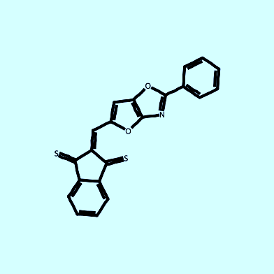 S=C1C(=Cc2cc3oc(-c4ccccc4)nc3o2)C(=S)c2ccccc21